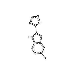 Fc1ccc2[nH]c(-c3ncns3)cc2c1